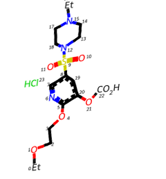 CCOCCOc1ncc(S(=O)(=O)N2CCN(CC)CC2)cc1OC(=O)O.Cl